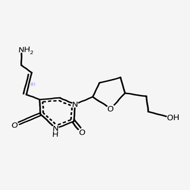 NC/C=C/c1cn(C2CCC(CCO)O2)c(=O)[nH]c1=O